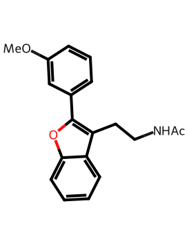 COc1cccc(-c2oc3ccccc3c2CCNC(C)=O)c1